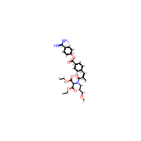 CCOC(=O)C(C(=O)OCC)N(CCCOC)C(=O)C(C)=Cc1ccc(C(=O)Oc2ccc(C(=N)N)cc2)cc1